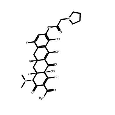 CN(C)[C@@H]1C(=O)C(C(N)=O)=C(O)[C@@]2(O)C(=O)C3=C(O)c4c(O)c(NC(=O)CN5CCCC5)cc(F)c4C[C@H]3C[C@@H]12